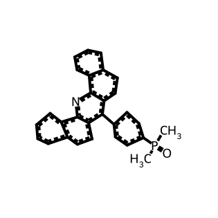 CP(C)(=O)c1ccc(-c2c3ccc4ccccc4c3nc3c2ccc2ccccc23)cc1